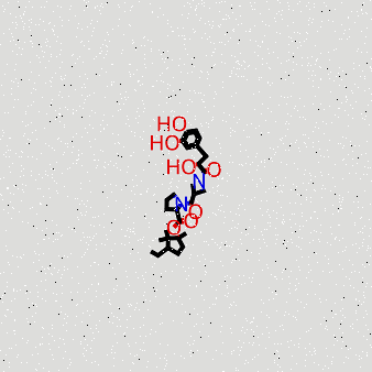 CCC1CCC(C)(OC(=O)C2CCCN2C(=O)C2CN(C(=O)C(O)Cc3ccc(O)c(O)c3)C2)C1(C)C